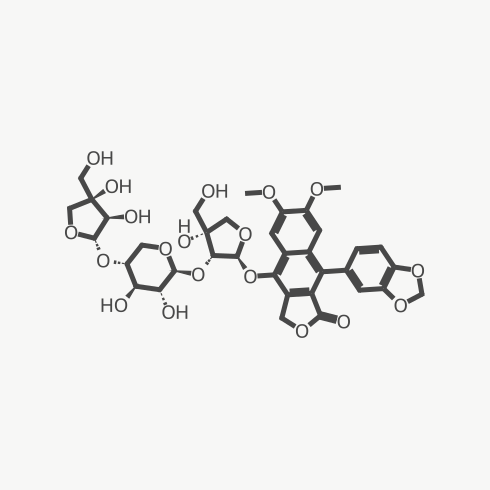 COc1cc2c(O[C@@H]3OC[C@](O)(CO)[C@H]3O[C@@H]3OC[C@@H](O[C@@H]4OC[C@](O)(CO)[C@H]4O)[C@H](O)[C@H]3O)c3c(c(-c4ccc5c(c4)OCO5)c2cc1OC)C(=O)OC3